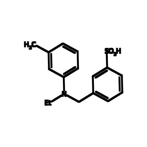 CCN(Cc1cccc(S(=O)(=O)O)c1)c1cccc(C)c1